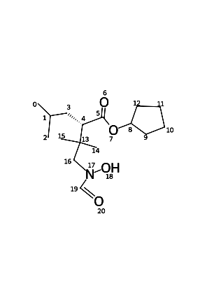 CC(C)C[C@H](C(=O)OC1CCCC1)C(C)(C)CN(O)C=O